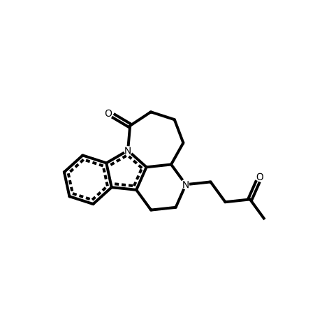 CC(=O)CCN1CCc2c3n(c4ccccc24)C(=O)CCCC31